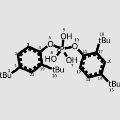 CC(C)(C)c1ccc(OP(O)(O)(O)Oc2ccc(C(C)(C)C)cc2C(C)(C)C)c(C(C)(C)C)c1